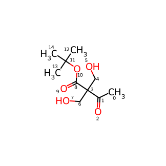 CC(=O)C(CO)(CO)C(=O)OC(C)(C)C